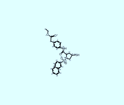 CCOC(=O)Cc1ccc(NC(=O)C2CC(S)CN2S(=O)(=O)c2ccc3ccccc3c2)cc1